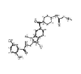 CCn1c(CNC(=O)c2nc(Cl)cnc2N)[n+](CC)c2ccc(C(=O)N3CCC(NC(=O)CN)CC3)cc21